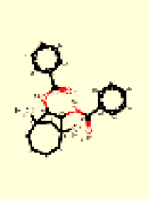 CC12CCCCC(C)(C1)C(OC(=O)c1ccccc1)C2OC(=O)c1ccccc1